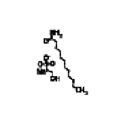 CCCCCCCCCCCC(N)=O.O=S(=O)([O-])CCO.[Na+]